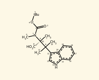 CN(C(=O)OC(C)(C)C)[C@](C)(C(=O)O)C(C)(C)c1c[nH]c2ccccc12